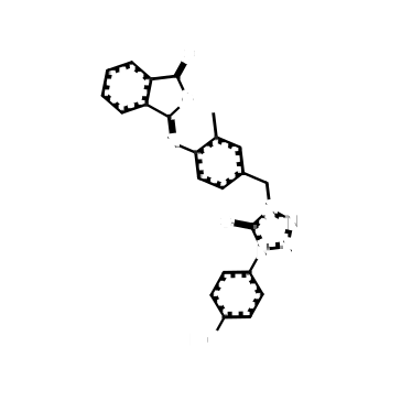 Cc1cc(Cn2nnn(-c3ccc(C(F)(F)F)cc3)c2=O)ccc1/N=C1\OC(=O)c2ccccc21